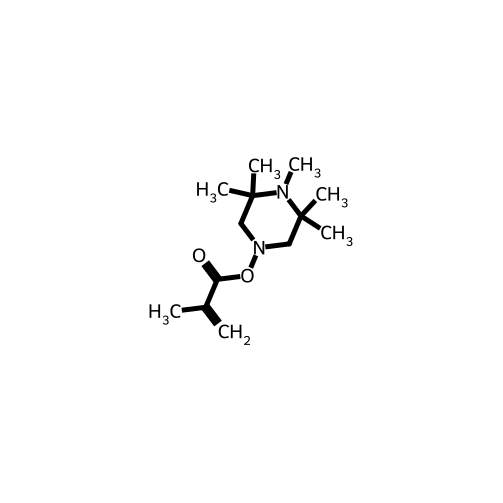 C=C(C)C(=O)ON1CC(C)(C)N(C)C(C)(C)C1